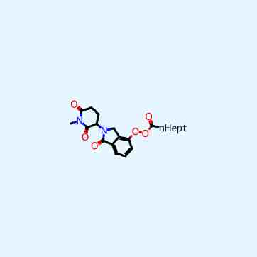 CCCCCCCC(=O)OOc1cccc2c1CN(C1CCC(=O)N(C)C1=O)C2=O